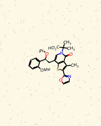 COc1ccccc1[C@H](Cc1cn(C(C)(C)C(=O)O)c(=O)c2c(C)c(-c3ncco3)sc12)OC(C)C